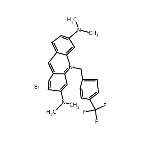 CN(C)c1ccc2cc3ccc(N(C)C)cc3[n+](Cc3ccc(C(F)(F)F)cc3)c2c1.[Br-]